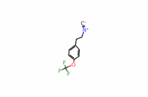 [C-]#[N+]CCc1ccc(OC(F)(F)F)cc1